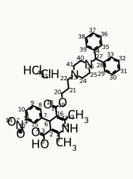 CC1=C(C(=O)O)C(c2cccc([N+](=O)[O-])c2)C(C(=O)OCCCN2CCN(C(c3ccccc3)c3ccccc3)CC2)=C(C)N1.Cl.Cl